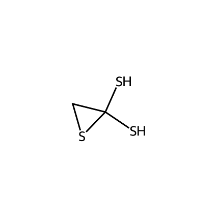 SC1(S)CS1